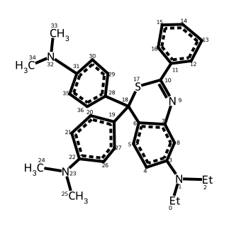 CCN(CC)c1ccc2c(c1)N=C(c1ccccc1)SC2(c1ccc(N(C)C)cc1)c1ccc(N(C)C)cc1